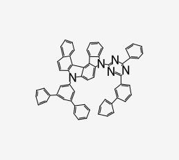 c1ccc(-c2cccc(-c3nc(-c4ccccc4)nc(-n4c5ccccc5c5c6c7c8ccccc8ccc7n(-c7cc(-c8ccccc8)cc(-c8ccccc8)c7)c6ccc54)n3)c2)cc1